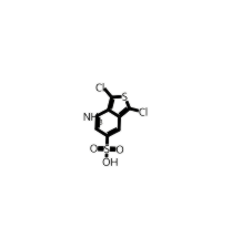 N.O=S(=O)(O)c1ccc2c(Cl)sc(Cl)c2c1